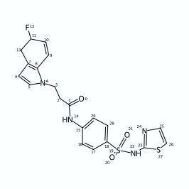 O=C(CCn1ccc2c1C=CC(F)C2)Nc1ccc(S(=O)(=O)Nc2nccs2)cc1